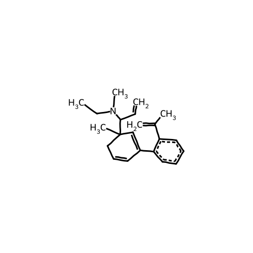 C=CC(N(C)CC)C1(C)C=C(c2ccccc2C(=C)C)C=CC1